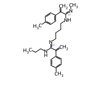 C=C(/C(=N\C)NCCCC/N=C(/NCCC)C(=C)c1ccc(C)cc1)c1ccc(C)cc1